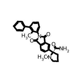 Cc1c(-c2ccccc2)cccc1N1C(=O)c2ccc([C@@]3(C(N)=O)CCCN3C)cc2C1=O